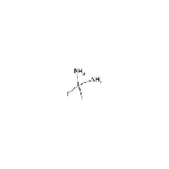 CC(N)(N)I